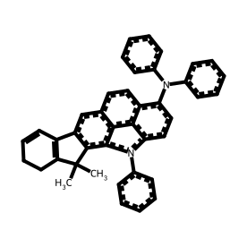 CC1(C)C2=C(C=CCC2)c2cc3ccc4c(N(c5ccccc5)c5ccccc5)ccc5c4c3c(c21)n5-c1ccccc1